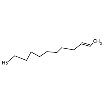 CC=CCCCCCCCCS